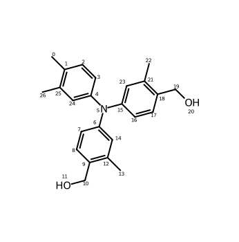 Cc1ccc(N(c2ccc(CO)c(C)c2)c2ccc(CO)c(C)c2)cc1C